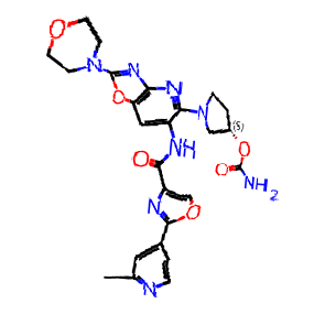 Cc1cc(-c2nc(C(=O)Nc3cc4oc(N5CCOCC5)nc4nc3N3CC[C@H](OC(N)=O)C3)co2)ccn1